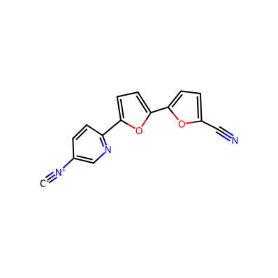 [C-]#[N+]c1ccc(-c2ccc(-c3ccc(C#N)o3)o2)nc1